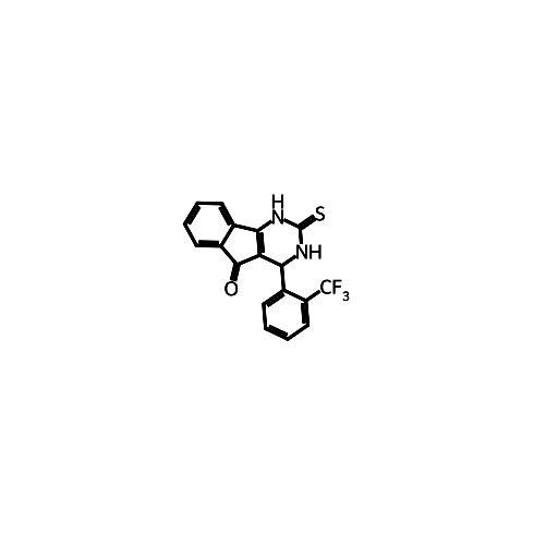 O=C1C2=C(NC(=S)NC2c2ccccc2C(F)(F)F)c2ccccc21